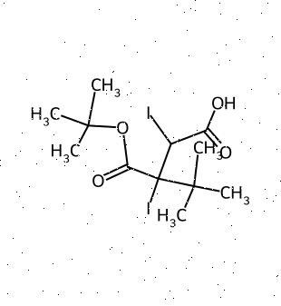 CC(C)(C)OC(=O)C(I)(C(I)C(=O)O)C(C)(C)C